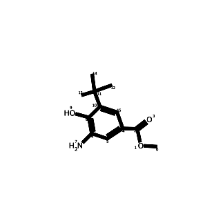 COC(=O)c1cc(N)c(O)c(C(C)(C)C)c1